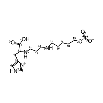 O=C(O)C(Cc1c[nH]cn1)NCCCNCCCCCO[N+](=O)[O-]